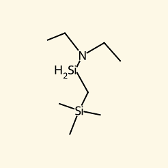 CCN(CC)[SiH2]C[Si](C)(C)C